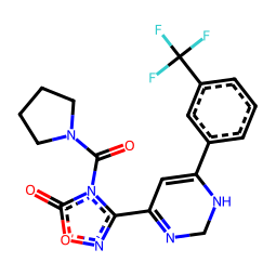 O=C(N1CCCC1)n1c(C2=NCNC(c3cccc(C(F)(F)F)c3)=C2)noc1=O